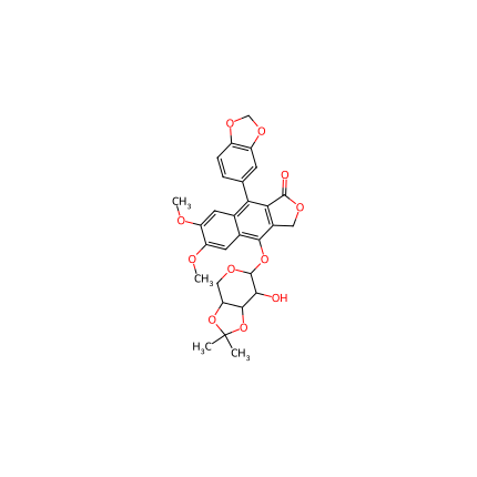 COc1cc2c(OC3OCC4OC(C)(C)OC4C3O)c3c(c(-c4ccc5c(c4)OCO5)c2cc1OC)C(=O)OC3